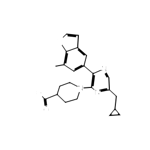 O=C(O)C1CCN(c2nc(CC3CC3)cnc2-c2cc(F)c3occc3c2)CC1